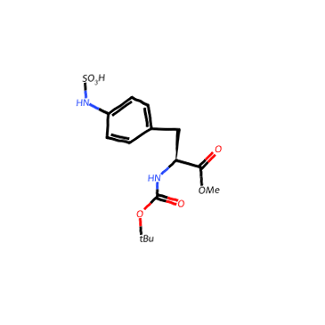 COC(=O)[C@H](Cc1ccc(NS(=O)(=O)O)cc1)NC(=O)OC(C)(C)C